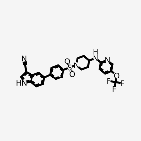 N#Cc1c[nH]c2ccc(-c3ccc(S(=O)(=O)N4CCC(Nc5ccc(OC(F)(F)F)cn5)CC4)cc3)cc12